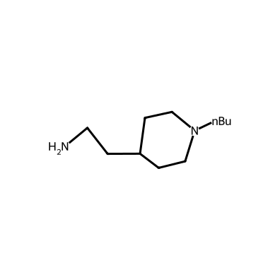 CCCCN1CCC(CCN)CC1